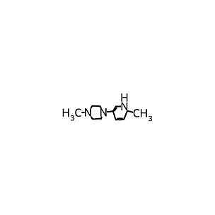 CC1C=CC(N2CCN(C)CC2)=CN1